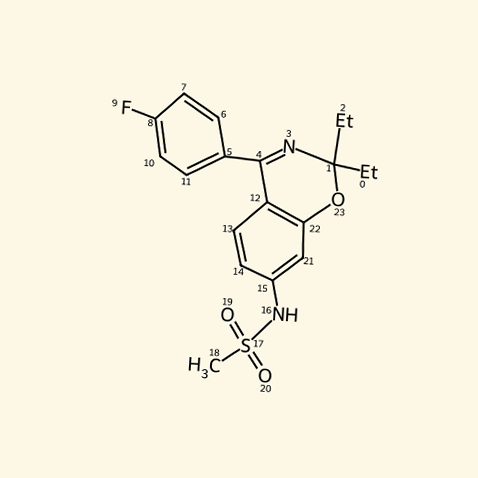 CCC1(CC)N=C(c2ccc(F)cc2)c2ccc(NS(C)(=O)=O)cc2O1